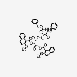 CCOc1ccc2ccccc2c1C(=O)OCC(=O)COC(=O)c1c(OCC)ccc2ccccc12.C[C@H](NC(=O)[C@H](Cc1ccccc1)NC(=O)OCc1ccccc1)C(=O)O